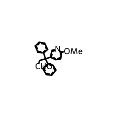 COc1ccc(C(CC=O)(c2ccccc2)c2ccccc2)cn1